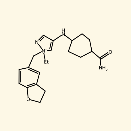 CC[N+]1(Cc2ccc3c(c2)CCO3)C=C(NC2CCC(C(N)=O)CC2)C=N1